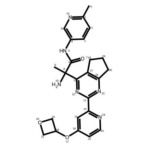 Cc1ccc(NC(=O)C(C)(N)c2nc(-c3cc(OC4COC4)ccn3)nc3c2CCC3)cn1